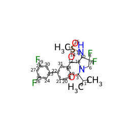 CC(C)C(=O)N1CC(F)(F)[C@H](NS(C)(=O)=O)[C@@H]1Cc1cccc(-c2cc(F)cc(F)c2)c1